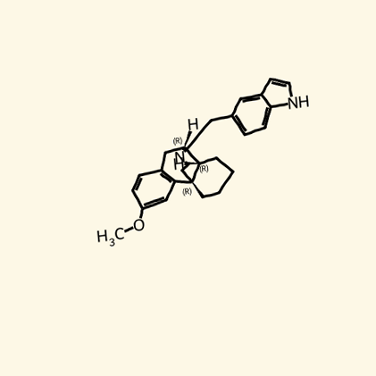 COc1ccc2c(c1)[C@@]13CCCC[C@H]1[C@@H](C2)N(Cc1ccc2[nH]ccc2c1)CC3